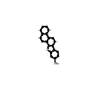 CCCCc1ccc2c(c1)sc1c2ccc2c3ccccc3ccc21